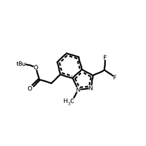 Cn1nc(C(F)F)c2cccc(CC(=O)OC(C)(C)C)c21